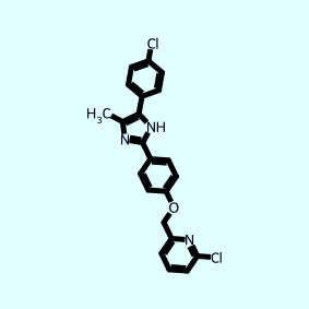 Cc1nc(-c2ccc(OCc3cccc(Cl)n3)cc2)[nH]c1-c1ccc(Cl)cc1